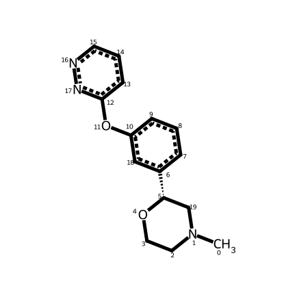 CN1CCO[C@H](c2cccc(Oc3cccnn3)c2)C1